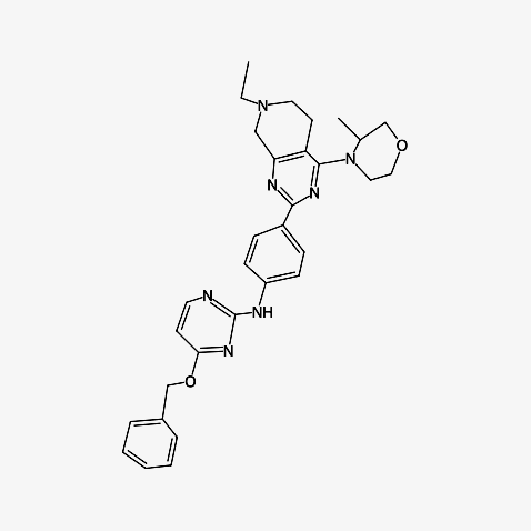 CCN1CCc2c(nc(-c3ccc(Nc4nccc(OCc5ccccc5)n4)cc3)nc2N2CCOCC2C)C1